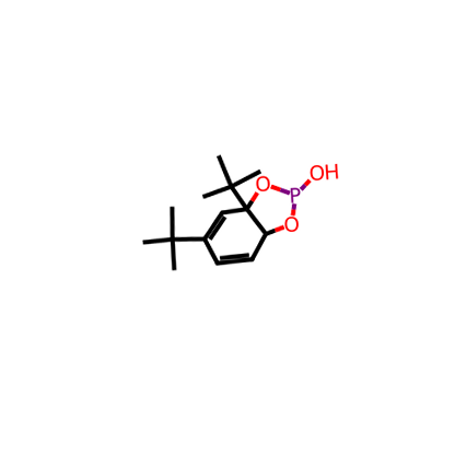 CC(C)(C)C1=CC2(C(C)(C)C)OP(O)OC2C=C1